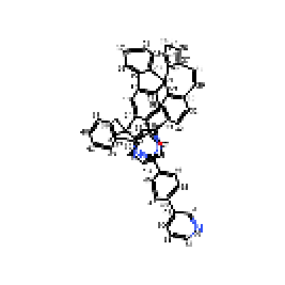 CC1(C)c2ccccc2-c2cc3c(cc21)-c1ccccc1C31c2ccccc2C=Cc2ccc(-c3cc(-c4ccccc4)nc(-c4ccc(-c5cccnc5)cc4)n3)cc21